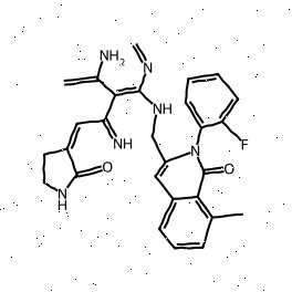 C=N/C(NCc1cc2cccc(C)c2c(=O)n1-c1ccccc1F)=C(\C(=C)N)C(=N)/C=C1/CCNC1=O